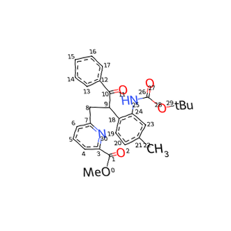 COC(=O)c1cccc(CC(C(=O)c2ccccc2)c2ccc(C)cc2NC(=O)OC(C)(C)C)n1